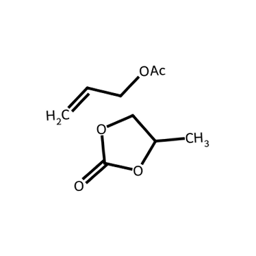 C=CCOC(C)=O.CC1COC(=O)O1